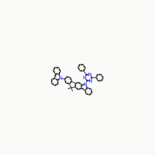 CC1(C)c2cc(-n3c4ccccc4c4ccccc43)ccc2-c2cc3c(cc21)c1ccccc1n3-c1nc(-c2ccccc2)nc(-c2ccccc2)n1